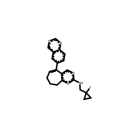 FC1(CNc2ncc3c(n2)CCCC=C3c2ccc3ncncc3c2)CC1